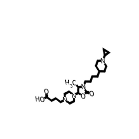 CC1C(N2CCN(CCCC(=O)O)CC2)OC(=O)N1CCCCC1CCN(C2CC2)CC1